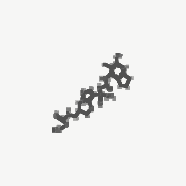 Cc1c(C(C)C)nc2c(c1NC(=O)N=S(N)(=O)c1cnn3c1OCC(CNC(=O)OC(C)(C)C)C3)CCC2